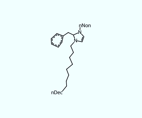 CCCCCCCCCCCCCCCCCCN1C=CN(CCCCCCCCC)C1Cc1ccccc1